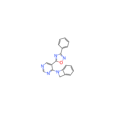 c1ccc(-c2noc(-c3cncnc3N3Cc4ccccc43)n2)cc1